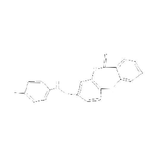 O=C1Nc2cc(SNc3ccc(F)cc3)ccc2Sc2ccccc21